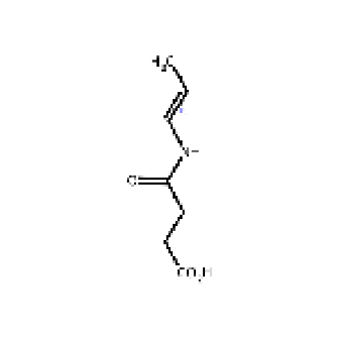 C/C=C/NC(=O)CCC(=O)O